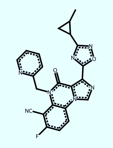 CC1CC1c1noc(-c2ncn3c2c(=O)n(Cc2ccccn2)c2c(C#N)c(F)ccc23)n1